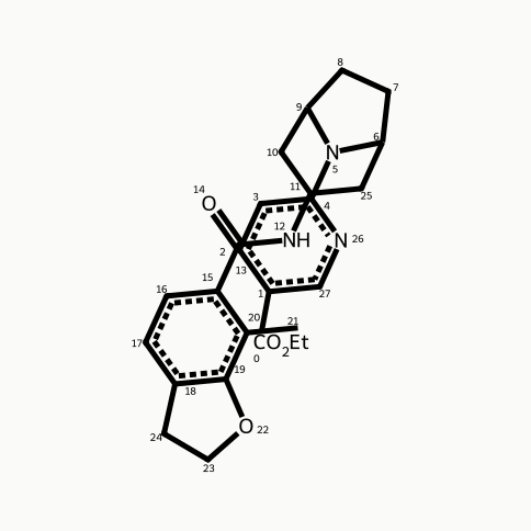 CCOC(=O)c1ccc(N2C3CCC2CC(NC(=O)c2ccc4c(c2C)OCC4)C3)nc1